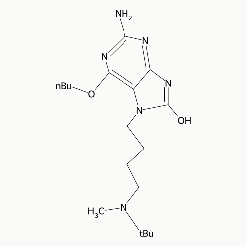 CCCCOc1nc(N)nc2nc(O)n(CCCCN(C)C(C)(C)C)c12